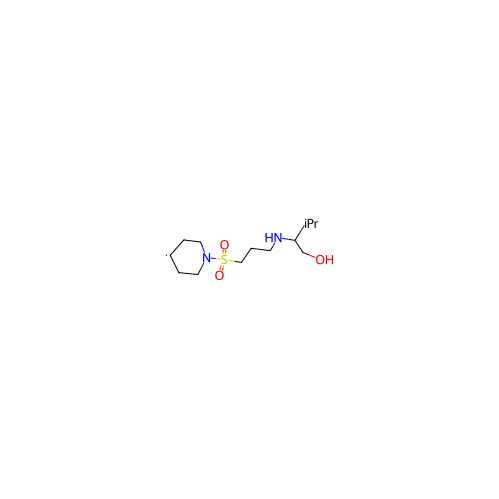 CC(C)C(CO)NCCCS(=O)(=O)N1CC[CH]CC1